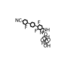 N#Cc1ccc(-c2ccc(-c3c(F)cc4[nH]c(O[C@@H]5CO[C@H]6[C@@H]5OC[C@H]6O)nc4c3F)cc2)c(F)c1